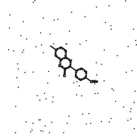 COc1ccc(-c2cc3ccc(C)cc3oc2=O)cc1